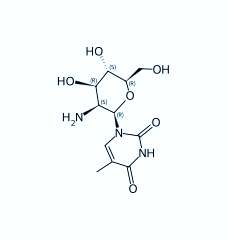 Cc1cn([C@@H]2O[C@H](CO)[C@@H](O)[C@H](O)[C@@H]2N)c(=O)[nH]c1=O